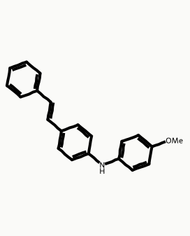 COc1ccc(Nc2ccc(C=Cc3ccccc3)cc2)cc1